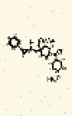 COCC1(CN[C@@H]2C[C@H]2c2ccccc2)CCN(C(=O)[C@H]2CC[C@@H](CO)CC2)CC1